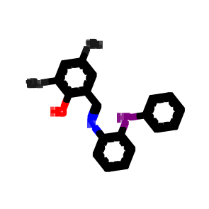 CC(C)(C)c1cc(C=Nc2ccccc2Pc2ccccc2)c(O)c(C(C)(C)C)c1